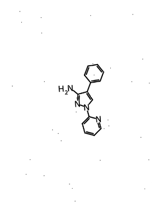 Nc1nn(-c2ccccn2)cc1-c1ccccc1